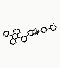 c1ccc(-c2c3ccccc3c(-c3cccc(-c4ccc5nn(-c6ccc(-c7cccnc7)cc6)nc5c4)c3)c3ccccc23)cc1